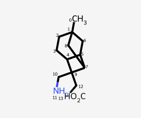 CC12CCC3C(C1)C(C2)C3(CN)CC(=O)O